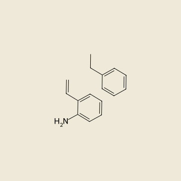 C=Cc1ccccc1N.CCc1ccccc1